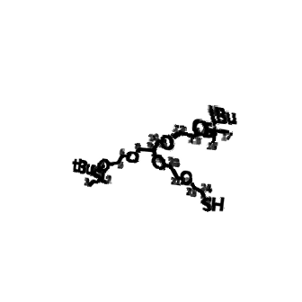 CC(C)(C)[Si](C)(C)OCCOCC(COCCO[Si](C)(C)C(C)(C)C)OCCOCCS